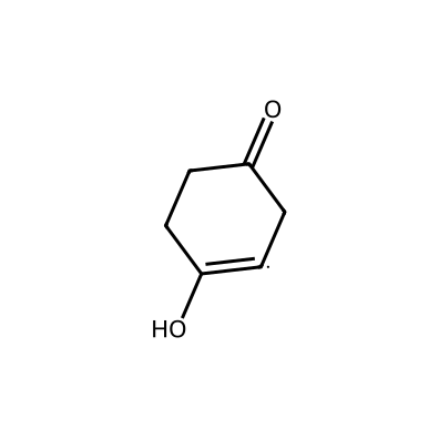 O=C1C[C]=C(O)CC1